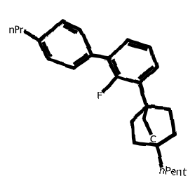 CCCCCC12CCC(c3cccc(-c4ccc(CCC)cc4)c3F)(CC1)CC2